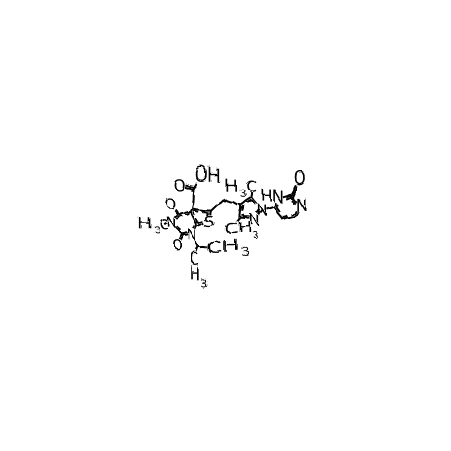 Cc1nn(-c2ccnc(=O)[nH]2)c(C)c1Cc1sc2c(c1C(=O)O)c(=O)n(C)c(=O)n2C(C)C